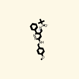 COc1ccc(CNc2cc(/C=N/[S+]([O-])C(C)(C)C)c(-c3ccccc3)nn2)cc1